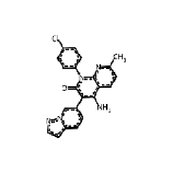 Cc1ccc2c(N)c(-c3ccc4ccnn4c3)c(=O)n(-c3ccc(Cl)cc3)c2n1